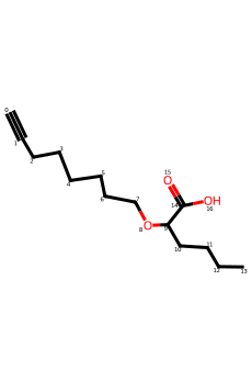 C#CCCCCCCOC(CCCC)C(=O)O